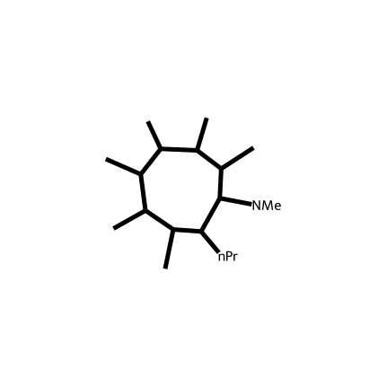 CCCC1C(C)C(C)C(C)C(C)C(C)C(C)C1NC